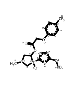 CCCCOc1nnc([N+]2([O-])CN(C)CC2OC(=O)COc2ccc(C(F)(F)F)cc2)s1